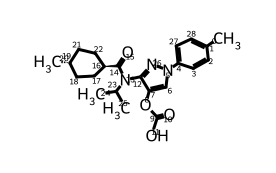 Cc1ccc(-n2cc(OC(=O)O)c(N(C(=O)[C@H]3CC[C@H](C)CC3)C(C)C)n2)cc1